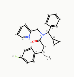 C[C@@H](CC(=O)N(Cc1ccccn1)C(c1ccccc1)C1CC1)c1ccc(F)cc1